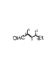 CCC(C)C=C(C)C=O